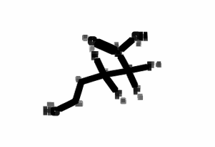 O=S(O)C(F)(F)C(F)(F)CCO